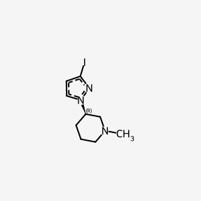 CN1CCC[C@@H](n2ccc(I)n2)C1